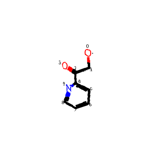 [O]CC(=O)c1ccccn1